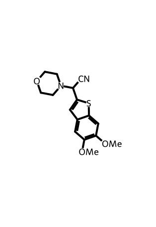 COc1cc2cc(C(C#N)N3CCOCC3)sc2cc1OC